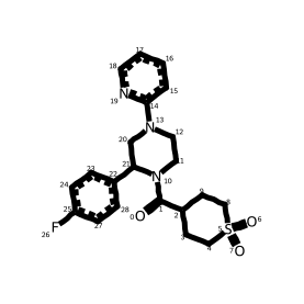 O=C(C1CCS(=O)(=O)CC1)N1CCN(c2ccccn2)CC1c1ccc(F)cc1